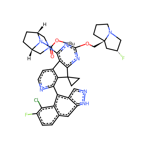 CC(C)(C)OC(=O)N1[C@@H]2CC[C@H]1CN(c1nc(OC[C@@]34CCCN3C[C@H](F)C4)nc3c1-c1ccnc(-c4c5cn[nH]c5cc5ccc(F)c(Cl)c45)c1C31CC1)C2